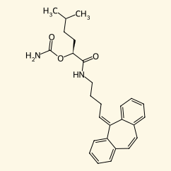 CC(C)CC[C@H](OC(N)=O)C(=O)NCCCC=C1c2ccccc2C=Cc2ccccc21